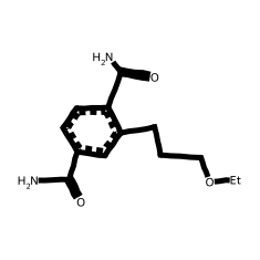 CCOCCCc1cc(C(N)=O)ccc1C(N)=O